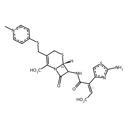 C[n+]1ccc(SCC2=C(C(=O)O)N3C(=O)C(NC(=O)/C(=C\C(=O)O)c4csc(N)n4)[C@H]3SC2)cc1